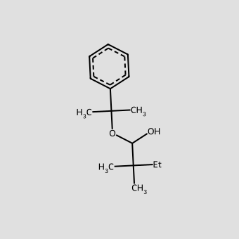 CCC(C)(C)C(O)OC(C)(C)c1ccccc1